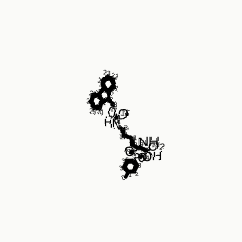 Cc1ccc(S(=O)(=O)[C@](N)(CCCCNC(=O)OCC2c3ccccc3-c3ccccc32)C(=O)O)cc1